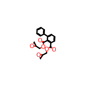 O=C(OCC1CO1)c1cccc(-c2ccccc2)c1C(=O)OCC1CO1